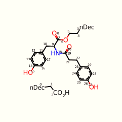 CCCCCCCCCCCC(=O)O.CCCCCCCCCCCCOC(=O)[C@H](Cc1ccc(O)cc1)NC(=O)CCc1ccc(O)cc1